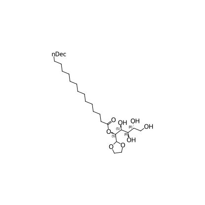 CCCCCCCCCCCCCCCCCCCCCCCC(=O)O[C@H](C1OCCO1)[C@@H](O)[C@H](O)[C@H](O)CO